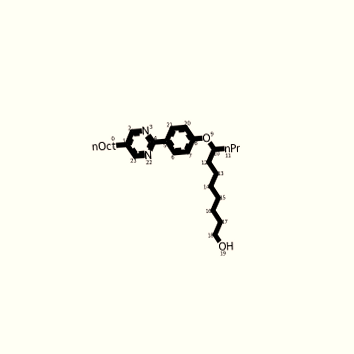 CCCCCCCCc1cnc(-c2ccc(OC(CCC)CCCCCCCO)cc2)nc1